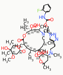 CC[C@H]1OC(=O)[C@H](C)[C@@H](O[C@H]2C[C@@](C)(OC)[C@@H](O)[C@H](C)O2)[C@H](C)[C@@H](O[C@@H]2O[C@H](C)C[C@H](N(C)CCc3cn(CCOC(=O)Nc4ccccc4F)nn3)[C@H]2O)[C@](C)(O)C[C@@H](C)CN(C)[C@H](C)[C@@H](O)[C@]1(C)O